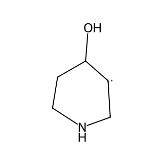 OC1[CH]CNCC1